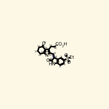 CCS(=O)(=O)c1ccc2c(c1)/C(=C/c1[nH]c3c(c1CCC(=O)O)C(=O)CCC3)C(=O)N2